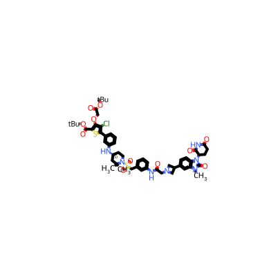 Cn1c(=O)n(C2CCC(=O)NC2=O)c2ccc(C3CN(CC(=O)Nc4cccc(CS(=O)(=O)N5CC[C@H](Nc6cccc(-c7sc(C(=O)OC(C)(C)C)c(OCC(=O)OC(C)(C)C)c7Cl)c6)CC5(C)C)c4)C3)cc21